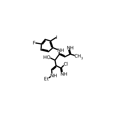 CCN/C=C(\C(=N)Cl)C(O)/C(=C/C(C)=N)Nc1ccc(F)cc1I